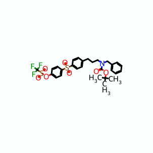 CC(C)(C)OC(=O)N(CCCc1ccc(S(=O)(=O)c2ccc(OS(=O)(=O)C(F)(F)F)cc2)cc1)Cc1ccccc1